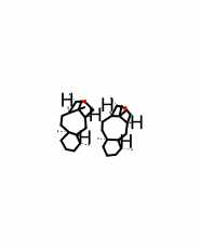 C[C@@H]1CCC[C@@]2(C)CC[C@H]3[C@H](C)CC[C@@H](C[C@H]12)C3(C)C.C[C@@H]1CCC[C@@]2(C)CC[C@H]3[C@H](C)CC[C@@H](C[C@H]12)C3(C)C